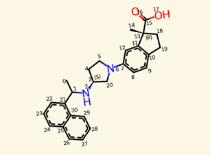 CC(N[C@H]1CCN(c2ccc3c(c2)[C@](C)(C(=O)O)CC3)C1)c1cccc2ccccc12